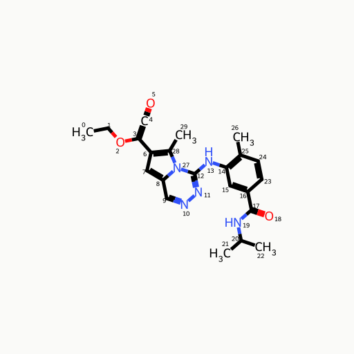 CCOC(=C=O)c1cc2cnnc(Nc3cc(C(=O)NC(C)C)ccc3C)n2c1C